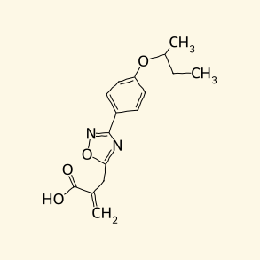 C=C(Cc1nc(-c2ccc(OC(C)CC)cc2)no1)C(=O)O